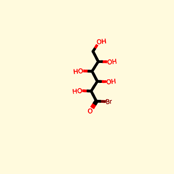 O=C(Br)C(O)C(O)C(O)C(O)CO